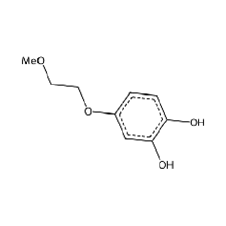 COCCOc1ccc(O)c(O)c1